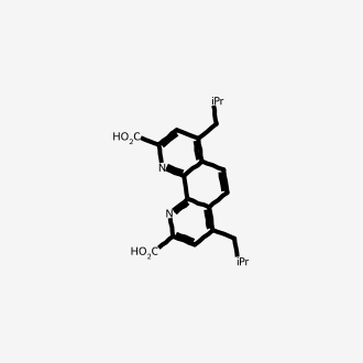 CC(C)Cc1cc(C(=O)O)nc2c1ccc1c(CC(C)C)cc(C(=O)O)nc12